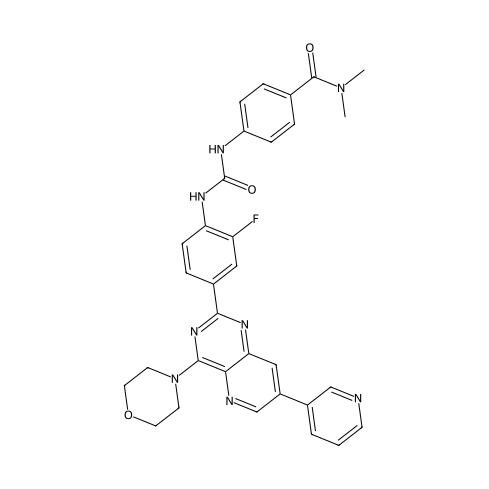 CN(C)C(=O)c1ccc(NC(=O)Nc2ccc(-c3nc(N4CCOCC4)c4ncc(-c5cccnc5)cc4n3)cc2F)cc1